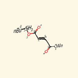 CCCC[SiH2]OC(=O)C=CC(=O)OC